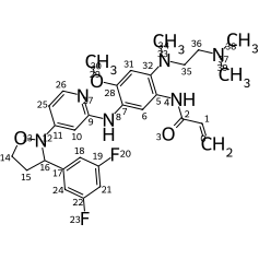 C=CC(=O)Nc1cc(Nc2cc(N3OCCC3c3cc(F)cc(F)c3)ccn2)c(OC)cc1N(C)CCN(C)C